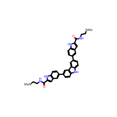 CNCCNC(=O)c1cc2cc(-c3ccc4[nH]c5ccc(-c6ccc7[nH]c(C(=O)NCCNC)cc7c6)cc5c4c3)ccc2[nH]1